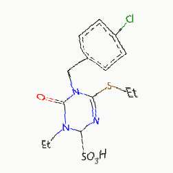 CCSC1=NC(S(=O)(=O)O)N(CC)C(=O)N1Cc1ccc(Cl)cc1